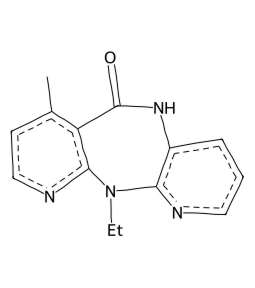 CCN1c2ncccc2NC(=O)c2c(C)ccnc21